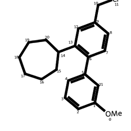 COc1cccc(-c2ccc(CCl)cc2C2CCCCCC2)c1